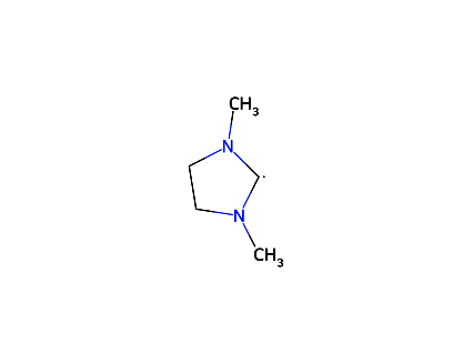 CN1[CH]N(C)CC1